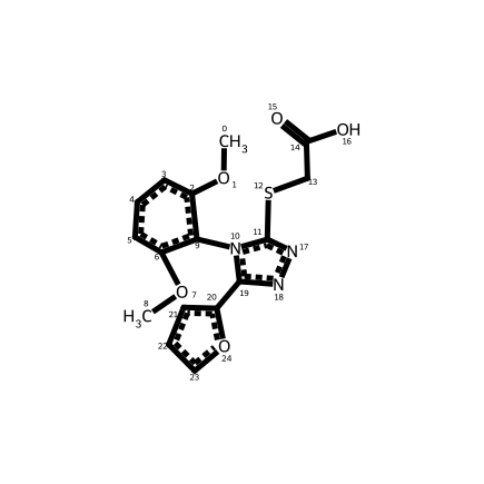 COc1cccc(OC)c1-n1c(SCC(=O)O)nnc1-c1ccco1